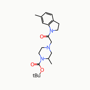 Cc1ccc2c(c1)N(C(=O)CN1CCN(C(=O)OC(C)(C)C)C(C)C1)CC2